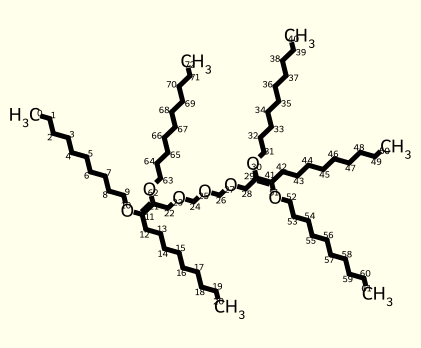 CCCCCCCCCCOC(CCCCCCCCC)=C(COCOCOCC(OCCCCCCCCCC)=C(CCCCCCCCC)OCCCCCCCCCC)OCCCCCCCCCC